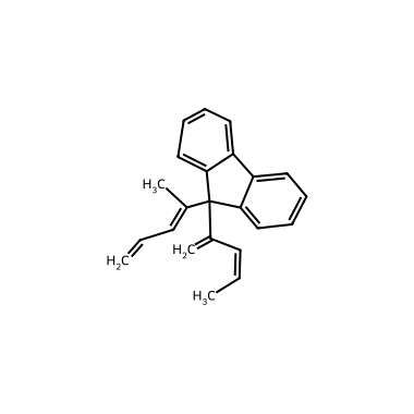 C=C/C=C(\C)C1(C(=C)/C=C\C)c2ccccc2-c2ccccc21